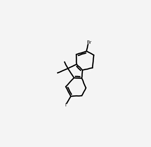 CC1(C)C2=C(CCC(Br)=C2)C2=C1C=C(I)CC2